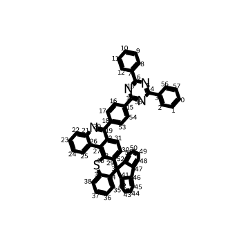 c1ccc(-c2nc(-c3ccccc3)nc(-c3ccc(-c4nc5ccccc5c5c6c(ccc45)C4(c5ccccc5S6)c5ccccc5-c5ccccc54)cc3)n2)cc1